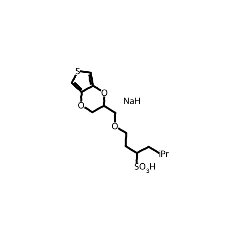 CC(C)CC(CCOCC1COc2cscc2O1)S(=O)(=O)O.[NaH]